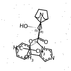 CC(C)(C)OC(=O)N1CC2CCC(C1)C21C[C@H]([C@H]2c3ccccc3-c3cncn32)[C@@H]1O